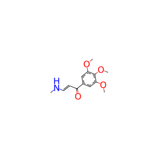 CNC=CC(=O)c1cc(OC)c(OC)c(OC)c1